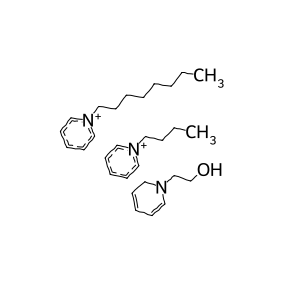 CCCCCCCC[n+]1ccccc1.CCCC[n+]1ccccc1.OCCN1C=CC=CC1